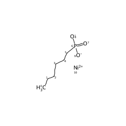 CCCCCCP(=O)([O-])[O-].[Ni+2]